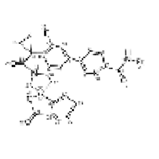 CCNC(=O)c1ccc(-c2ccc(C3(C(=O)N4CC[C@@]5(C4)OC(=O)c4ccccc45)CC3)c(F)c2)cn1